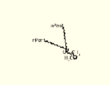 CCCCCC=CCC=CCCCCCCCCC(CCCCCCCCC=CCC=CCCCCC)OC(=O)CCCN(C)c1ccccc1C